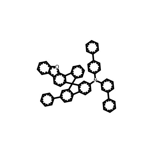 c1ccc(-c2ccc(N(c3cccc(-c4ccccc4)c3)c3ccc4c(c3)C3(c5cc(-c6ccccc6)ccc5-4)c4ccccc4-c4c3ccc3c4oc4ccccc43)cc2)cc1